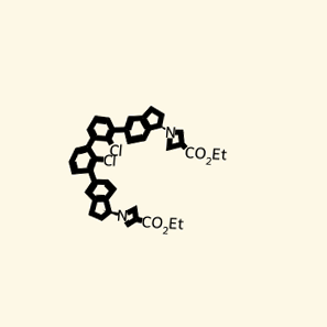 CCOC(=O)C1CN([C@H]2CCc3cc(-c4cccc(-c5cccc(-c6ccc7c(c6)CC[C@@H]7N6CC(C(=O)OCC)C6)c5Cl)c4Cl)ccc32)C1